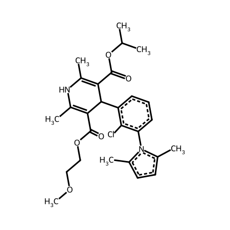 COCCOC(=O)C1=C(C)NC(C)=C(C(=O)OC(C)C)C1c1cccc(-n2c(C)ccc2C)c1Cl